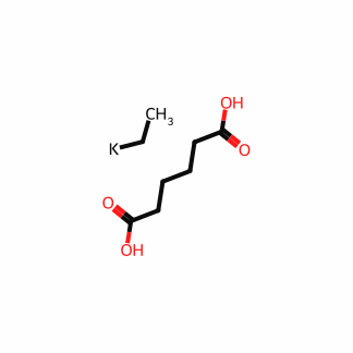 C[CH2][K].O=C(O)CCCCC(=O)O